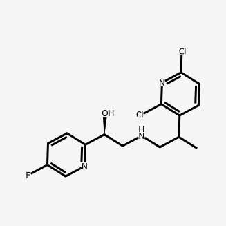 CC(CNC[C@H](O)c1ccc(F)cn1)c1ccc(Cl)nc1Cl